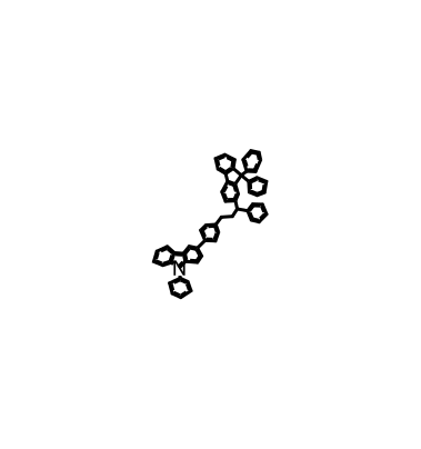 c1ccc(C(CCc2ccc(-c3ccc4c(c3)c3ccccc3n4-c3ccccc3)cc2)c2ccc3c(c2)C(c2ccccc2)(c2ccccc2)c2ccccc2-3)cc1